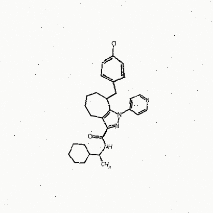 C[C@H](NC(=O)c1nn(-c2ccncc2)c2c1CCCCC2Cc1ccc(Cl)cc1)C1CCCCC1